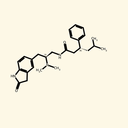 CC(C)C[C@H](CC(=O)NC[C@H](Cc1ccc2c(c1)CC(=O)N2)N(C)C)c1ccccc1